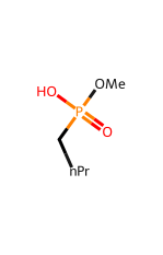 CCCCP(=O)(O)OC